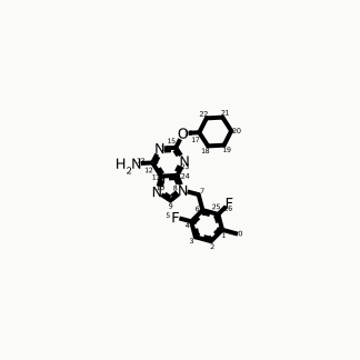 Cc1ccc(F)c(Cn2cnc3c(N)nc(OC4CCCCC4)nc32)c1F